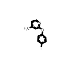 FC(F)(F)c1ccnc(Oc2ccc(I)cc2)c1